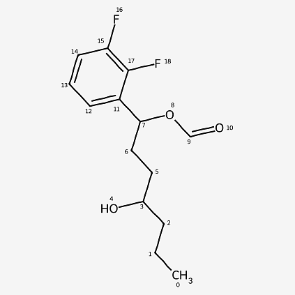 CCCC(O)CCC(OC=O)c1cccc(F)c1F